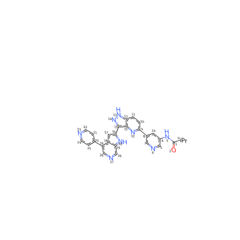 CC(C)C(=O)Nc1cncc(-c2ccc3[nH]nc(-c4cc5c(-c6ccncc6)cncc5[nH]4)c3n2)c1